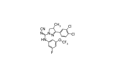 CC1CN(/C(=N\C#N)Nc2cc(F)cc(OC(F)(F)F)c2)N=C1c1ccc(Cl)c(Cl)c1